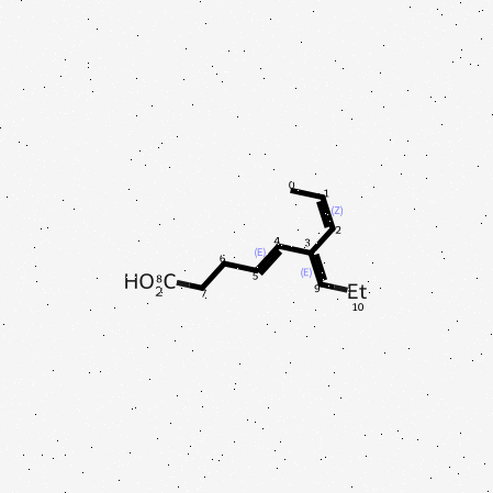 C\C=C/C(/C=C/CCC(=O)O)=C\CC